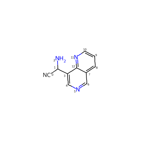 N#CC(N)c1cncc2cccnc12